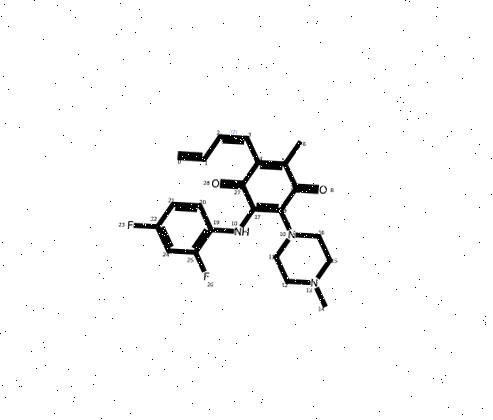 C=C/C=C\C1=C(C)C(=O)C(N2CCN(C)CC2)=C(Nc2ccc(F)cc2F)C1=O